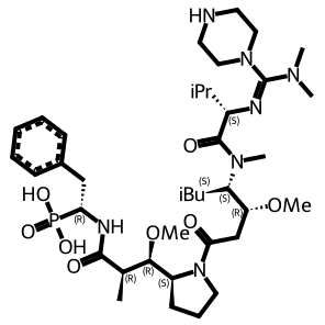 CC[C@H](C)[C@@H]([C@@H](CC(=O)N1CCC[C@H]1[C@H](OC)[C@@H](C)C(=O)N[C@@H](Cc1ccccc1)P(=O)(O)O)OC)N(C)C(=O)[C@@H](N=C(N(C)C)N1CCNCC1)C(C)C